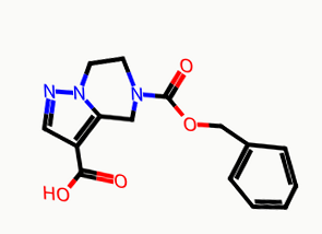 O=C(O)c1cnn2c1CN(C(=O)OCc1ccccc1)CC2